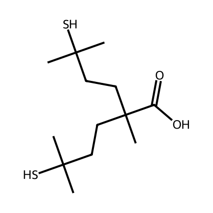 CC(C)(S)CCC(C)(CCC(C)(C)S)C(=O)O